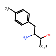 N[C@H](Cc1ccc([N+](=O)[O-])cc1)[C@@H](O)C(=O)O